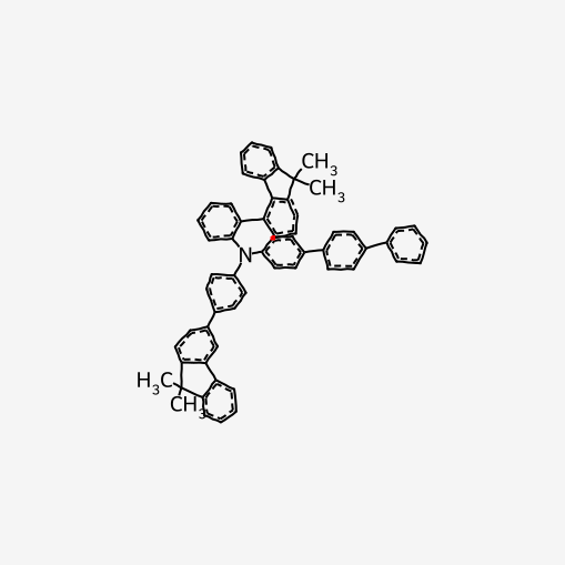 CC1(C)c2ccccc2-c2cc(-c3ccc(N(c4ccc(-c5ccc(-c6ccccc6)cc5)cc4)c4ccccc4-c4cccc5c4-c4ccccc4C5(C)C)cc3)ccc21